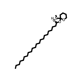 CCCCCCCCCCCCCCCCCCCCCC(=O)OC1([SiH2]C)CCCCO1